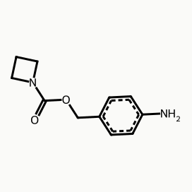 Nc1ccc(COC(=O)N2CCC2)cc1